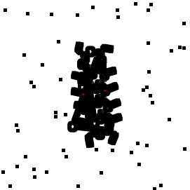 C=C[Si]12O[Si]3(C=C)O[Si]4(C=C)O[Si](C=C)(O1)O[Si]1(C=C)O[Si](C=C)(O4)O[Si]4(C=C)O[Si](C=C)(O1)O[Si]1(C=C)O[Si](C=C)(O[Si](C=C)(O[Si](C=C)(O2)O1)O3)O4